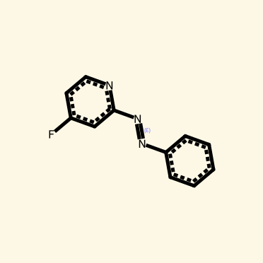 Fc1ccnc(/N=N/c2ccccc2)c1